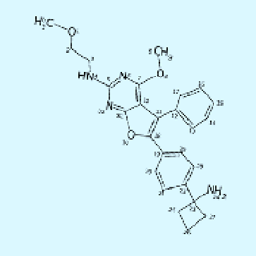 COCCNc1nc(OC)c2c(-c3ccccc3)c(-c3ccc(C4(N)CCC4)cc3)oc2n1